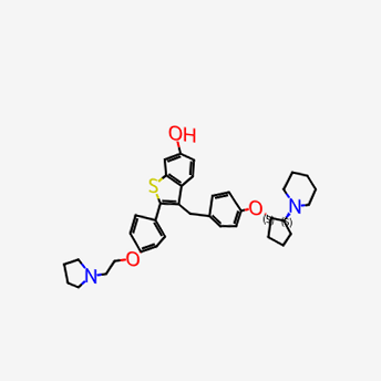 Oc1ccc2c(Cc3ccc(O[C@H]4CCC[C@@H]4N4CCCCC4)cc3)c(-c3ccc(OCCN4CCCC4)cc3)sc2c1